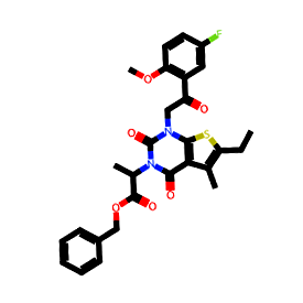 CCc1sc2c(c1C)c(=O)n(C(C)C(=O)OCc1ccccc1)c(=O)n2CC(=O)c1cc(F)ccc1OC